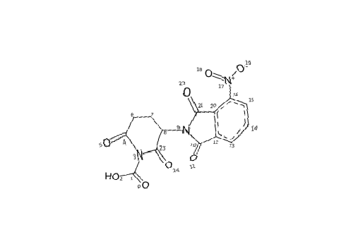 O=C(O)N1C(=O)CCC(N2C(=O)c3cccc([N+](=O)[O-])c3C2=O)C1=O